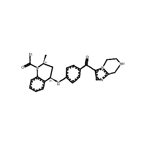 CCC(=O)N1c2ccccc2[C@H](Nc2ccc(C(=O)c3cnc4n3CCNC4)cc2)C[C@@H]1C